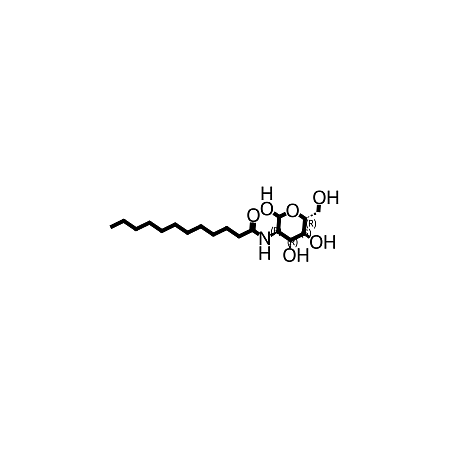 CCCCCCCCCCCC(=O)N[C@H]1C(O)O[C@H](CO)[C@@H](O)[C@@H]1O